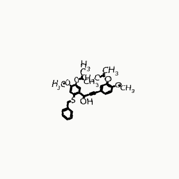 COc1ccc(C#CC(O)c2cc(OC(C)C)c(OC)cc2SCc2ccccc2)cc1OC(C)C